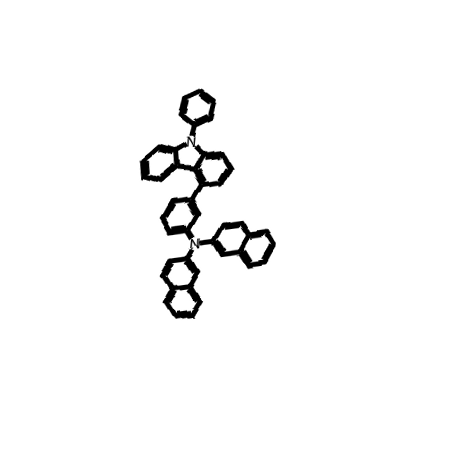 c1ccc(-n2c3ccccc3c3c(-c4cccc(N(c5ccc6ccccc6c5)c5ccc6ccccc6c5)c4)cccc32)cc1